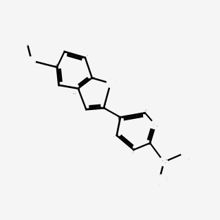 COc1ccc2oc(-c3ccc(N(C)C)nc3)cc2c1